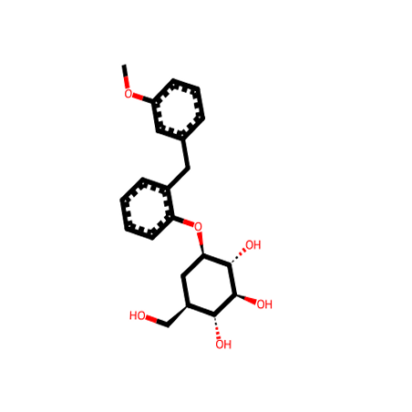 COc1cccc(Cc2ccccc2O[C@@H]2C[C@H](CO)[C@@H](O)[C@H](O)[C@H]2O)c1